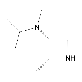 CC(C)N(C)[C@@H]1CN[C@@H]1C